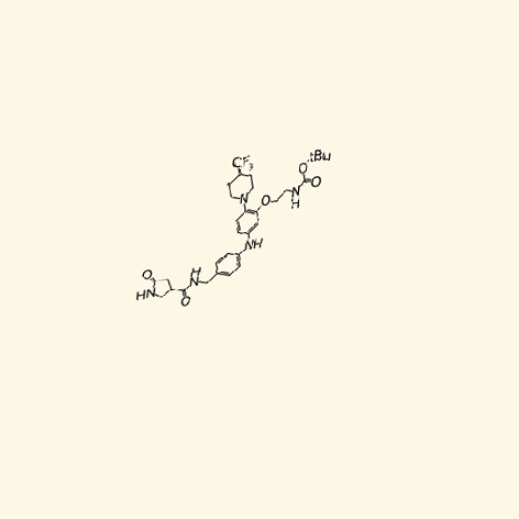 CC(C)(C)OC(=O)NCCOc1cc(Nc2ccc(CNC(=O)C3CNC(=O)C3)cc2)ccc1N1CCC(C(F)(F)F)CC1